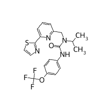 CC(C)N(Cc1cccc(-c2nccs2)n1)C(=O)Nc1ccc(OC(F)(F)F)cc1